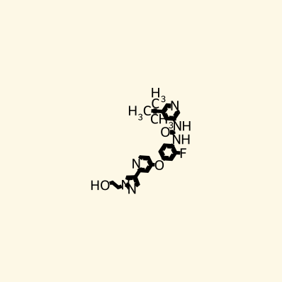 CC(C)(C)c1cncc(NC(=O)Nc2ccc(Oc3ccnc(-c4cnn(CCO)c4)c3)cc2F)c1